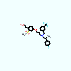 CC(CN(CCCOc1ccc(CCO)c(S(C)(=O)=O)c1)Cc1cccc(C(F)(F)F)c1)c1ccc(F)cc1